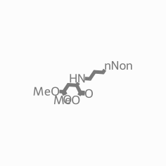 CCCCCCCCCCCCNC(CC(=O)OC)C(=O)OC